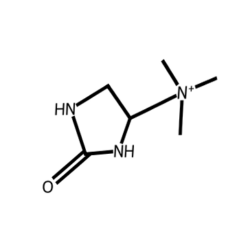 C[N+](C)(C)C1CNC(=O)N1